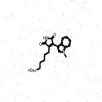 CCCCCCCCCCCCCCCC1=C(c2cn(C)c3ccccc23)C(=O)NC1=O